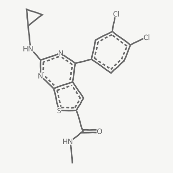 CNC(=O)c1cc2c(-c3ccc(Cl)c(Cl)c3)nc(NC3CC3)nc2s1